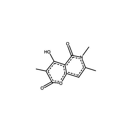 Cc1c(O)c2c(=O)n(C)c(C)cc2oc1=O